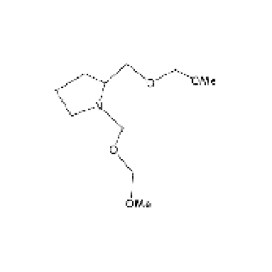 COCOCC1CCCN1COCOC